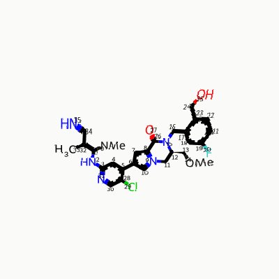 CN/C(Nc1cc(-c2cc3n(c2)C[C@H](COC)N(Cc2cc(F)ccc2CO)C3=O)c(Cl)cn1)=C(/C)C=N